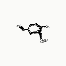 COc1cc(C=[N])ccc1O